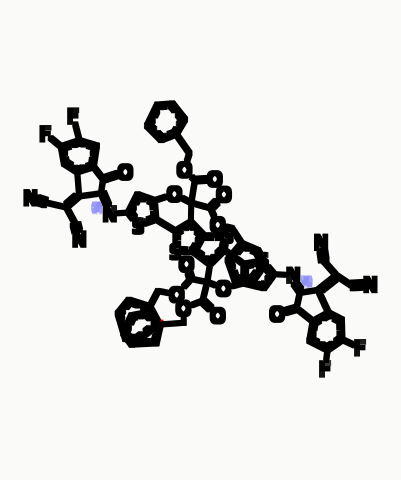 N#CC(C#N)=C1/C(=N/c2cc3c(s2)-c2sc4c5c(sc4c2C(C(=O)OCc2ccccc2)(C(=O)OCc2ccccc2)O3)-c2sc(/N=C3\C(=O)c4cc(F)c(F)cc4C3=C(C#N)C#N)cc2OC5(C(=O)OCc2ccccc2)C(=O)OCc2ccccc2)C(=O)c2cc(F)c(F)cc21